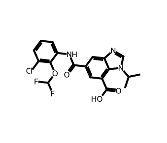 CC(C)n1cnc2cc(C(=O)Nc3cccc(Cl)c3OC(F)F)cc(C(=O)O)c21